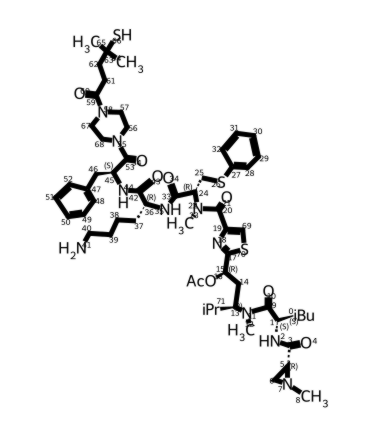 CC[C@H](C)[C@H](NC(=O)[C@H]1CN1C)C(=O)N(C)[C@H](C[C@@H](OC(C)=O)c1nc(C(=O)N(C)[C@@H](CSc2ccccc2)C(=O)N[C@H](CCCCN)C(=O)N[C@@H](Cc2ccccc2)C(=O)N2CCN(C(=O)CCC(C)(C)S)CC2)cs1)C(C)C